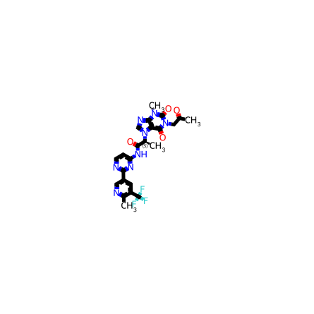 CC(=O)Cn1c(=O)c2c(ncn2[C@@H](C)C(=O)Nc2ccnc(-c3cnc(C)c(C(F)(F)F)c3)n2)n(C)c1=O